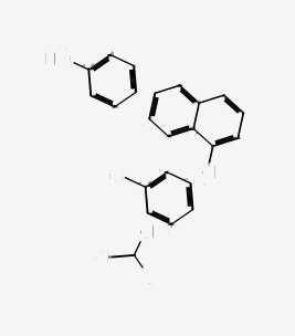 ClC(Cl)Cl.Clc1cccc2ccccc12.Clc1ccccc1.Oc1ccccc1